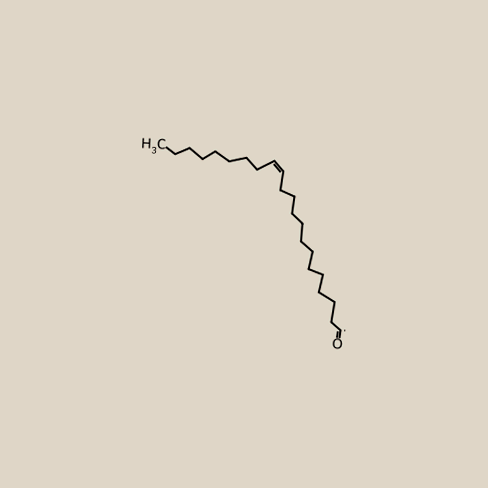 CCCCCCCC/C=C\CCCCCCCCCCC[C]=O